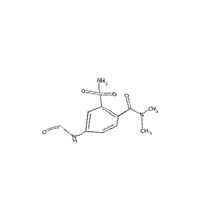 CN(C)C(=O)c1ccc(NC=O)cc1S(N)(=O)=O